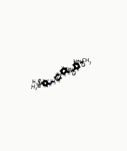 CC(=O)Nc1ccc(C(=O)NCc2cccc(N3CCN(C/C=C/c4ccc(N(C)C)cc4)CC3)c2)cc1